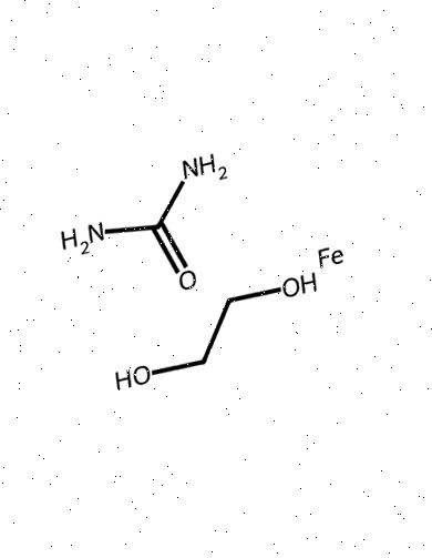 NC(N)=O.OCCO.[Fe]